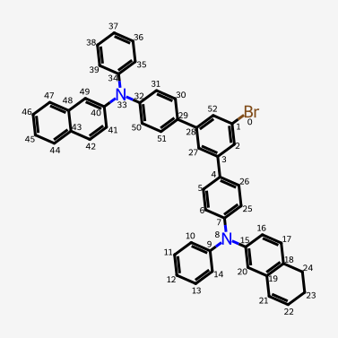 Brc1cc(-c2ccc(N(c3ccccc3)c3ccc4c(c3)C=CCC4)cc2)cc(-c2ccc(N(c3ccccc3)c3ccc4ccccc4c3)cc2)c1